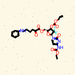 C=CCOC(=O)O[C@@H]1[C@@H](COC(=O)C(=O)CCCCNc2ccccc2)O[C@@H](n2ccc(NC(=O)OCC)nc2=O)C1(F)F